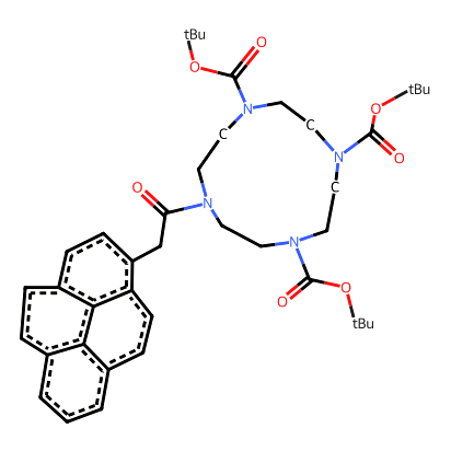 CC(C)(C)OC(=O)N1CCN(C(=O)Cc2ccc3ccc4cccc5ccc2c3c45)CCN(C(=O)OC(C)(C)C)CCN(C(=O)OC(C)(C)C)CC1